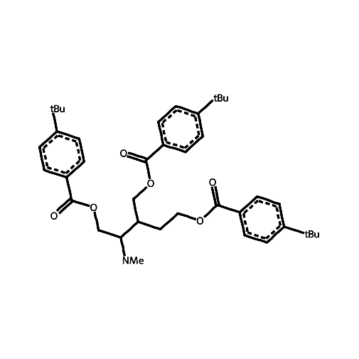 CNC(COC(=O)c1ccc(C(C)(C)C)cc1)C(CCOC(=O)c1ccc(C(C)(C)C)cc1)COC(=O)c1ccc(C(C)(C)C)cc1